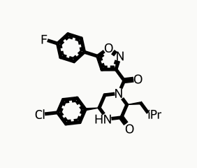 CC(C)C[C@H]1C(=O)N[C@@H](c2ccc(Cl)cc2)CN1C(=O)c1cc(-c2ccc(F)cc2)on1